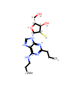 CSCCNc1nc(CCC(F)(F)F)nc2c1ncn2[C@@H]1O[C@H](CO)[C@@H](O)[C@H]1S